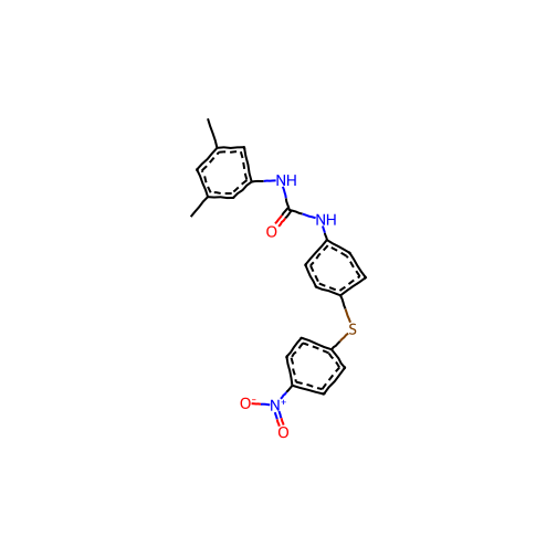 Cc1cc(C)cc(NC(=O)Nc2ccc(Sc3ccc([N+](=O)[O-])cc3)cc2)c1